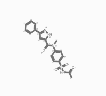 CC(=O)NS(=O)(=O)c1ccc(N(C)C(=O)c2cc(-c3ccccc3)n[nH]2)cc1